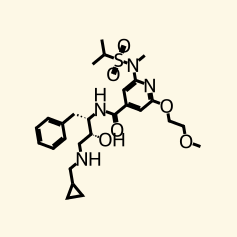 COCCOc1cc(C(=O)N[C@@H](Cc2ccccc2)[C@H](O)CNCC2CC2)cc(N(C)S(=O)(=O)C(C)C)n1